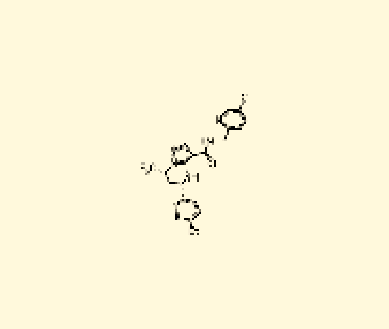 CCc1ccc([C@@H]2C[C@H](C(F)(F)F)n3ncc(C(=O)NCc4ccc(Cl)cn4)c3N2)cc1